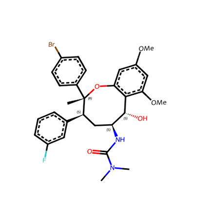 COc1cc(OC)c2c(c1)O[C@@](C)(c1ccc(Br)cc1)[C@H](c1cccc(F)c1)C[C@H](NC(=O)N(C)C)[C@H]2O